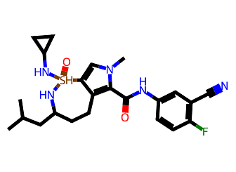 CC(C)CC1CCc2c(cn(C)c2C(=O)Nc2ccc(F)c(C#N)c2)[SH](=O)(NC2CC2)N1